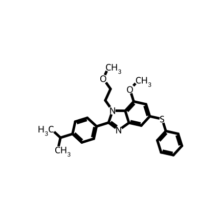 COCCn1c(-c2ccc(C(C)C)cc2)nc2cc(Sc3ccccc3)cc(OC)c21